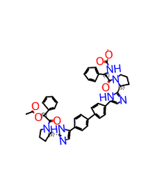 COC(=O)N[C@@H](C(=O)N1CCC[C@H]1c1ncc(-c2ccc(-c3ccc(-c4cnc([C@@H]5CCCN5C(=O)[C@H](OC(C)=O)c5ccccc5)[nH]4)cc3)cc2)[nH]1)c1ccccc1